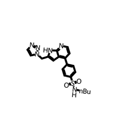 CCCCNS(=O)(=O)c1ccc(-c2ccnc3[nH]c(Cn4ccnn4)cc23)cc1